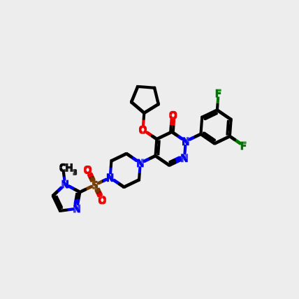 Cn1ccnc1S(=O)(=O)N1CCN(c2cnn(-c3cc(F)cc(F)c3)c(=O)c2OC2CCCC2)CC1